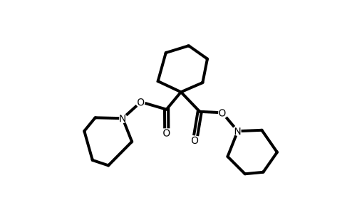 O=C(ON1CCCCC1)C1(C(=O)ON2CCCCC2)CCCCC1